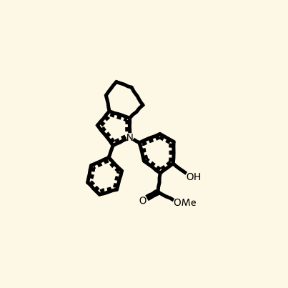 COC(=O)c1cc(-n2c(-c3ccccc3)cc3c2CCCC3)ccc1O